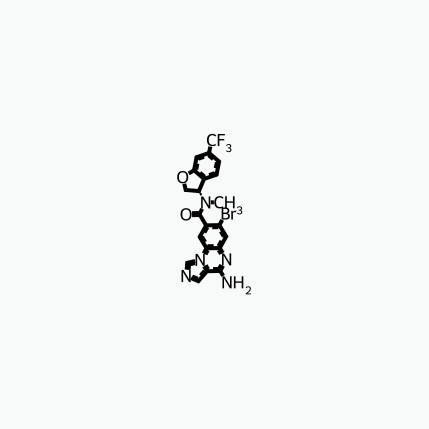 CN(C(=O)c1cc2c(cc1Br)nc(N)c1cncn12)[C@@H]1COc2cc(C(F)(F)F)ccc21